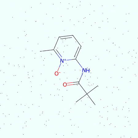 Cc1cccc(NC(=O)C(C)(C)C)[n+]1[O-]